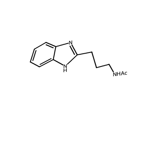 CC(=O)NCCCc1nc2ccccc2[nH]1